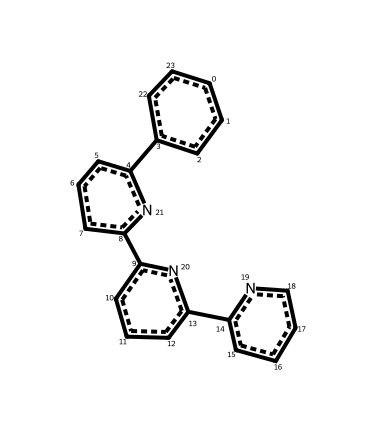 c1ccc(-c2cccc(-c3cccc(-c4ccccn4)n3)n2)cc1